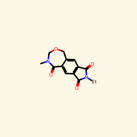 CCN1C(=O)c2cc3c(cc2C1=O)C(=O)N(C)COC3